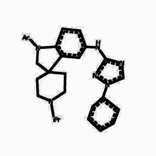 CC(=O)N1CC2(CCN(C(C)C)CC2)c2cc(Nc3ncn(-c4ccccc4)n3)ccc21